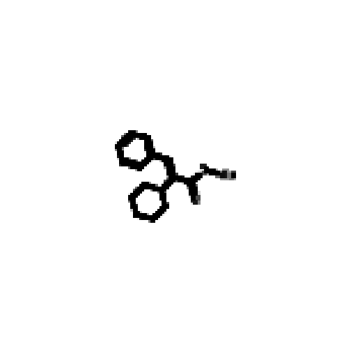 CCCCOC(=O)C(=Cc1ccccc1)C1CCCCC1